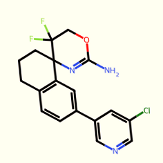 NC1=NC2(CCCc3ccc(-c4cncc(Cl)c4)cc32)C(F)(F)CO1